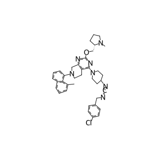 Cc1cccc2cccc(N3CCc4c(nc(OC[C@@H]5CCCN5C)nc4N4CCC(N=C=NCc5ccc(Cl)cc5)CC4)C3)c12